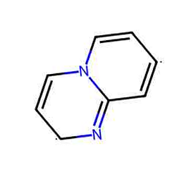 [C]1=CC2=N[CH]C=CN2C=C1